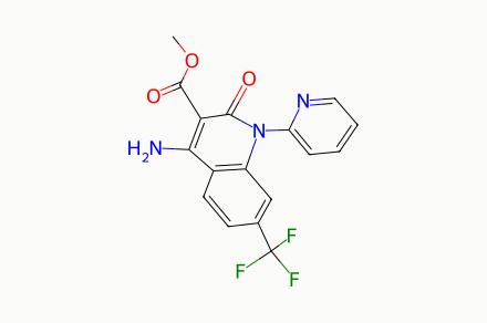 COC(=O)c1c(N)c2ccc(C(F)(F)F)cc2n(-c2ccccn2)c1=O